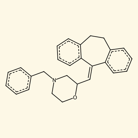 C(=C1c2ccccc2CCc2ccccc21)C1CN(Cc2ccccc2)CCO1